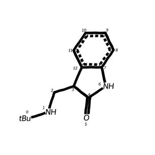 CC(C)(C)NCC1C(=O)Nc2ccccc21